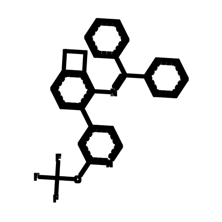 FC(F)(F)Oc1cc(-c2ccc3c(c2N=C(c2ccccc2)c2ccccc2)CC3)ccn1